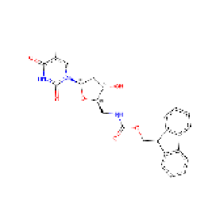 Cc1cn([C@H]2C[C@H](O)[C@@H](CNC(=O)OCC3c4ccccc4-c4ccccc43)O2)c(=O)[nH]c1=O